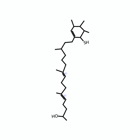 C/C(=C\CCC(C)O)CC/C=C(\C)CCCC(C)CCC1=CC(C)C(C)C(C)C1S